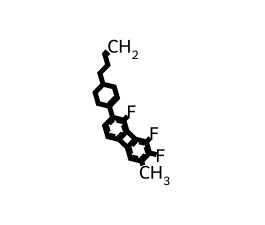 C=CCCC1CC=C(c2ccc3c(c2F)-c2c-3cc(C)c(F)c2F)CC1